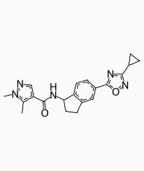 Cc1c(C(=O)NC2CCc3cc(-c4nc(C5CC5)no4)ccc32)cnn1C